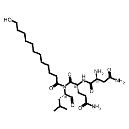 CC(C)C[C@@H](C=O)N(C(=O)CCCCCCCCCCCO)C(=O)[C@H](CCC(N)=O)NC(=O)[C@@H](N)CC(N)=O